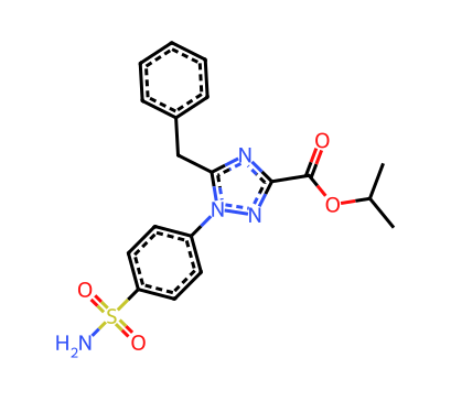 CC(C)OC(=O)c1nc(Cc2ccccc2)n(-c2ccc(S(N)(=O)=O)cc2)n1